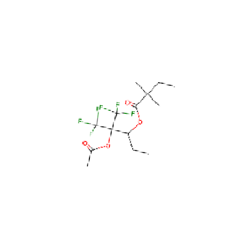 CCC(OC(=O)C(C)(C)CC)C(OC(C)=O)(C(F)(F)F)C(F)(F)F